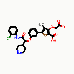 Cc1c(-c2cccc(OC(C(=O)Nc3ccccc3Cl)C3CCNCC3)c2)sc(C(=O)O)c1OCC(=O)O